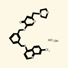 Cl.Cl.O=c1cc(CN2CCOCC2)occ1OCc1cccc(CSc2ccnc3cc(C(F)(F)F)ccc23)c1